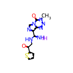 Cn1nnc2c(C(=N)NCC(=O)c3cccs3)ncn2c1=O.I